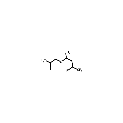 CC(CC(F)C(F)(F)F)OCC(F)C(F)(F)F